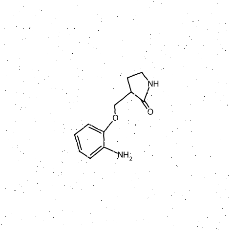 Nc1ccccc1OCC1CCNC1=O